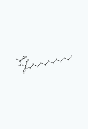 CCCCCCCCCCCCS(=O)(=O)OC(C)=O